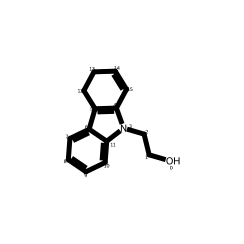 OCCn1c2c(c3ccccc31)CCC=C2